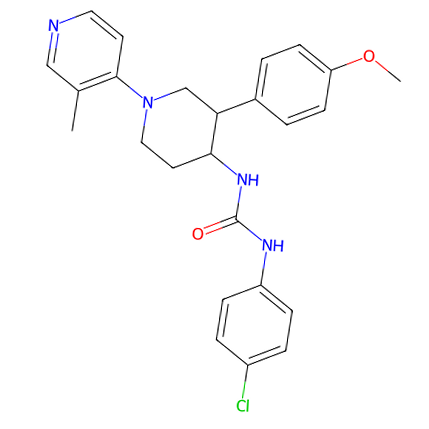 COc1ccc(C2CN(c3ccncc3C)CCC2NC(=O)Nc2ccc(Cl)cc2)cc1